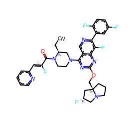 N#CC[C@H]1CN(c2nc(OC[C@@]34CCCN3C[C@H](F)C4)nc3c(F)c(-c4cc(F)ccc4F)ncc23)CCN1C(=O)/C(F)=C/c1ccccn1